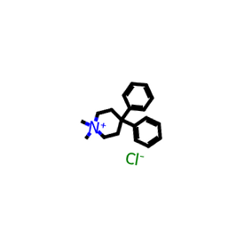 C[N+]1(C)CCC(c2ccccc2)(c2ccccc2)CC1.[Cl-]